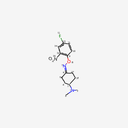 CN(C)C1CCC(=NOc2ccc(F)cc2[N+](=O)[O-])CC1